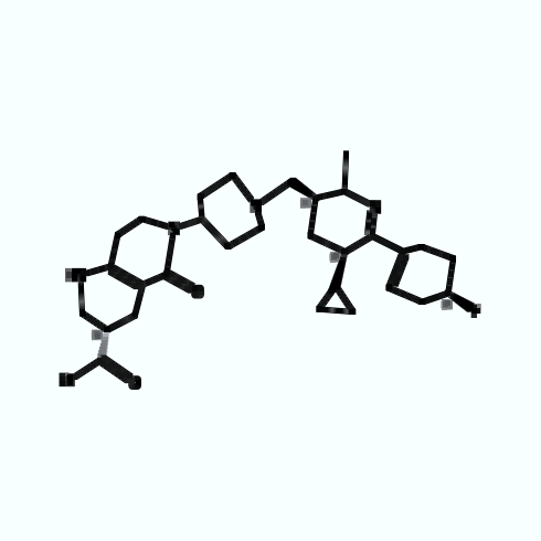 CCC(=O)[C@@H]1CNC2=C(C1)C(=O)N(C1CCN(C[C@@H]3C[C@H](C4CC4)C(C4=CC[C@H](F)CC4)=NC3C)CC1)CC2